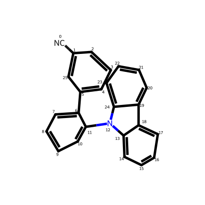 N#Cc1cccc(-c2ccccc2-n2c3ccccc3c3ccccc32)c1